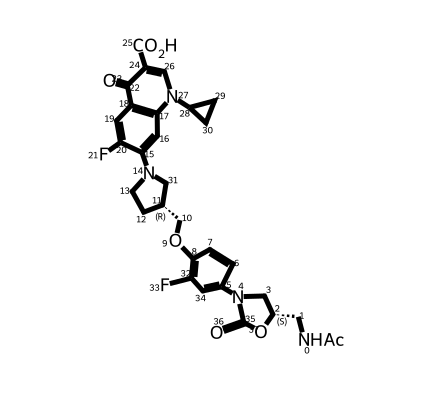 CC(=O)NC[C@H]1CN(c2ccc(OC[C@@H]3CCN(c4cc5c(cc4F)c(=O)c(C(=O)O)cn5C4CC4)C3)c(F)c2)C(=O)O1